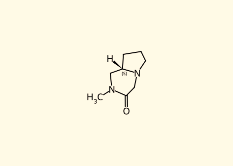 CN1C[C@@H]2CCCN2CC1=O